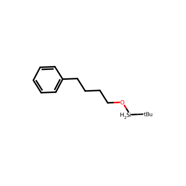 CC(C)(C)[SiH2]OCCCCc1ccccc1